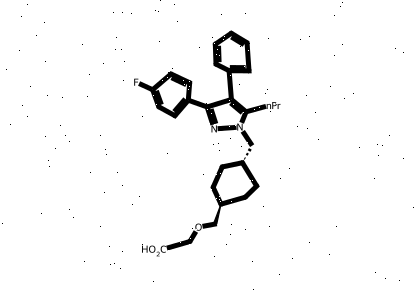 CCCc1c(-c2ccccc2)c(-c2ccc(F)cc2)nn1C[C@H]1CC[C@H](COCC(=O)O)CC1